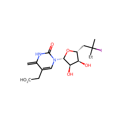 C=C1NC(=O)N([C@@H]2O[C@H](CC(C)(I)CC)[C@@H](O)[C@H]2O)C=C1CC(=O)O